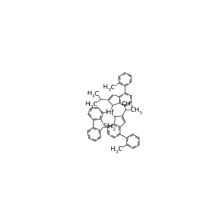 Cc1ccccc1-c1cccc2c1C=C(C(C)C)[CH]2[Hf]([c]1cccc2c1[SiH2]c1ccccc1-2)[CH]1C(C(C)C)=Cc2c(-c3ccccc3C)cccc21